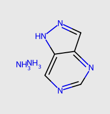 N.N.c1ncc2[nH]ncc2n1